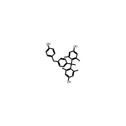 Cc1cc(O)cc(C)c1C(C)(c1ccc(Cc2ccc(O)cc2)cc1)c1c(C)cc(O)cc1C